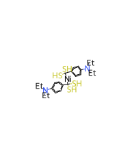 CCN(CC)c1ccc([C](S)(S)[Ni][C](S)(S)c2ccc(N(CC)CC)cc2)cc1